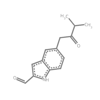 CC(C)C(=O)Cc1ccc2[nH]c(C=O)cc2c1